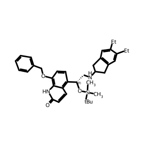 CCc1cc2c(cc1CC)CC(NC[C@H](O[Si](C)(C)C(C)(C)C)c1ccc(OCc3ccccc3)c3[nH]c(=O)ccc13)C2